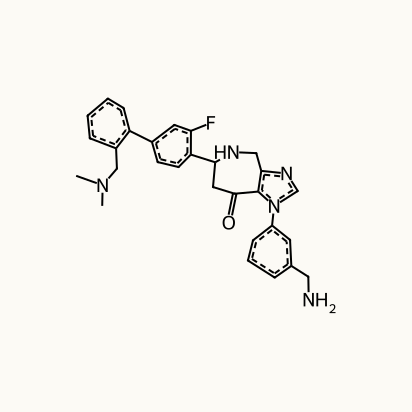 CN(C)Cc1ccccc1-c1ccc(C2CC(=O)c3c(ncn3-c3cccc(CN)c3)CN2)c(F)c1